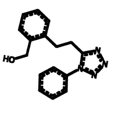 OCc1ccccc1CCc1nnnn1-c1ccccc1